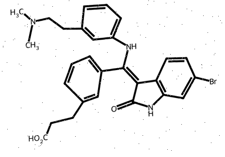 CN(C)CCc1cccc(NC(=C2C(=O)Nc3cc(Br)ccc32)c2cccc(CCC(=O)O)c2)c1